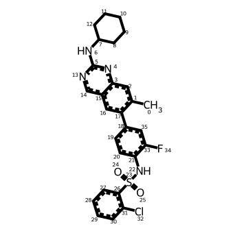 Cc1cc2nc(NC3CCCCC3)ncc2cc1-c1ccc(NS(=O)(=O)c2ccccc2Cl)c(F)c1